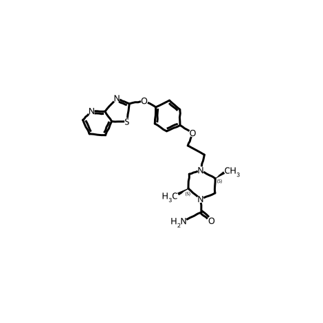 C[C@H]1CN(C(N)=O)[C@@H](C)CN1CCOc1ccc(Oc2nc3ncccc3s2)cc1